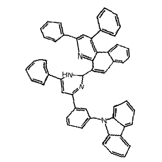 C1=C(c2ccccc2)NC(c2cc3ccccc3c3c(-c4ccccc4)cc(-c4ccccc4)nc23)N=C1c1cccc(-n2c3ccccc3c3ccccc32)c1